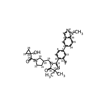 Cn1ncc2cc(-c3ccc(C4=NC(C)(C)C(=O)N4CC4CCN(C(=O)C5(O)CC5)C4)c(F)c3)ccc21